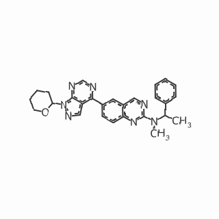 CC(c1ccccc1)N(C)c1ncc2cc(-c3ncnc4c3cnn4C3CCCCO3)ccc2n1